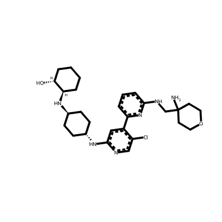 NC1(CNc2cccc(-c3cc(N[C@H]4CC[C@H](N[C@@H]5CCCC[C@H]5O)CC4)ncc3Cl)n2)CCOCC1